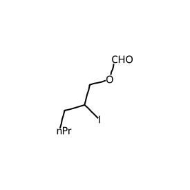 CCCCC(I)COC=O